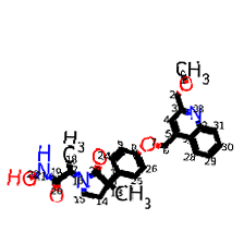 COCc1cc(COc2ccc(C3(C)CCN(C(C)C(=O)NO)C3=O)cc2)c2ccccc2n1